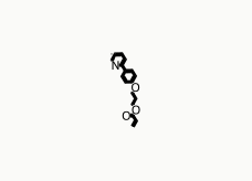 C=CC(=O)OCCCOc1ccc(-c2cc[c]cn2)cc1